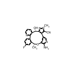 C[C@H]1Oc2cc(cnc2N)-c2c(nn(C)c2C#N)[C@@H](O)c2cccnc2-c2ccc(F)cc21